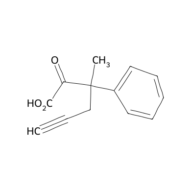 C#CCC(C)(C(=O)C(=O)O)c1ccccc1